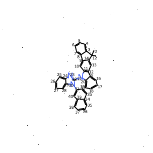 CC1(C)c2ccccc2-c2cc3c(cc21)c1ccccc1n3-c1nc2ccccc2n1-c1ccc2ccccc2c1